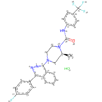 C[C@H]1CN(c2nnc(-c3ccc(F)cc3)c3ccccc23)CCN1C(=O)Nc1ccc(C(F)(F)F)cc1.Cl